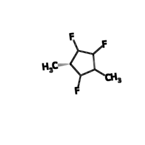 CC1C(F)C(F)[C@@H](C)C1F